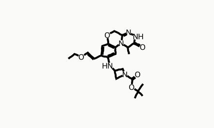 CCOC=Cc1cc2c(cc1NC1CN(C(=O)OC(C)(C)C)C1)N1C(=NNC(=O)C1C)CO2